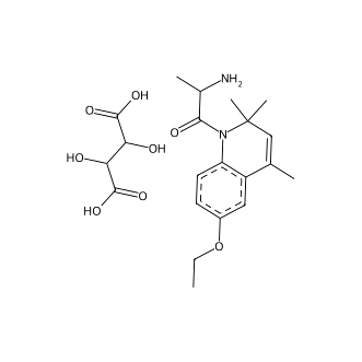 CCOc1ccc2c(c1)C(C)=CC(C)(C)N2C(=O)C(C)N.O=C(O)C(O)C(O)C(=O)O